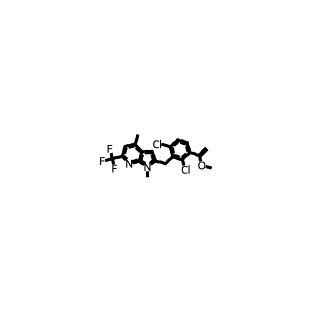 C=C(OC)c1ccc(Cl)c(Cc2cc3c(C)cc(C(F)(F)F)nc3n2C)c1Cl